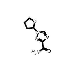 NC(=O)c1ncn(C2CCCO2)n1